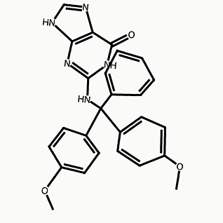 COc1ccc(C(Nc2nc3[nH]cnc3c(=O)[nH]2)(c2ccccc2)c2ccc(OC)cc2)cc1